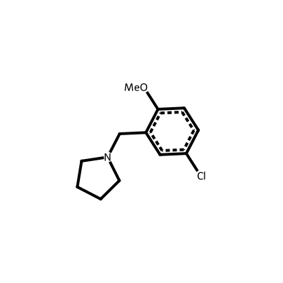 COc1ccc(Cl)cc1CN1CCCC1